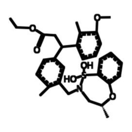 CCOC(=O)CC(c1ccc(C)c(CN2C[C@@H](C)Oc3ccccc3S2(O)O)c1)c1cccc(OC)c1C